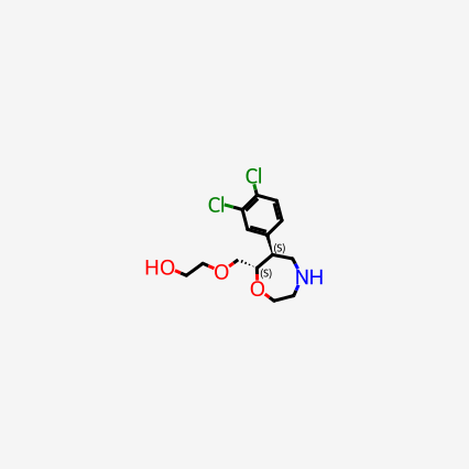 OCCOC[C@H]1OCCNC[C@@H]1c1ccc(Cl)c(Cl)c1